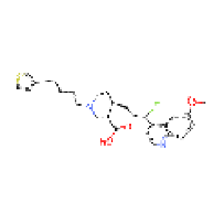 COc1ccc2nccc(C(F)CC[C@@H]3CCN(CCCCc4ccsc4)C[C@@H]3C(=O)O)c2c1